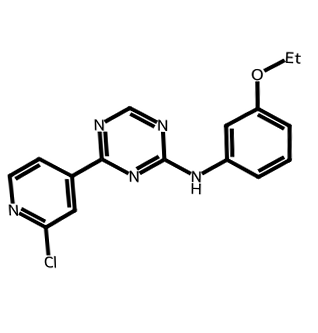 CCOc1cccc(Nc2ncnc(-c3ccnc(Cl)c3)n2)c1